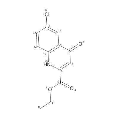 CCOC(=O)c1cc(=O)c2cc(Cl)ccc2[nH]1